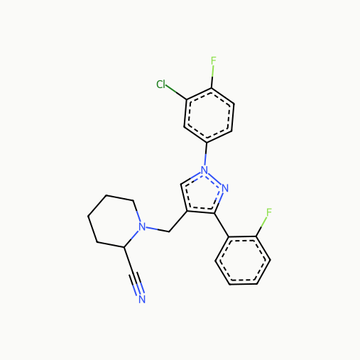 N#CC1CCCCN1Cc1cn(-c2ccc(F)c(Cl)c2)nc1-c1ccccc1F